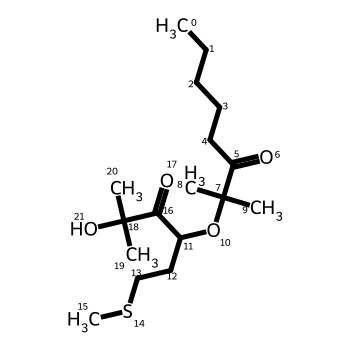 CCCCCC(=O)C(C)(C)OC(CCSC)C(=O)C(C)(C)O